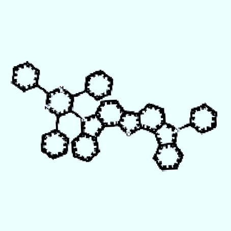 c1ccc(-c2nc(-c3ccccc3)c(-n3c4ccccc4c4c5oc6c(ccc7c6c6ccccc6n7-c6ccccc6)c5ccc43)c(-c3ccccc3)n2)cc1